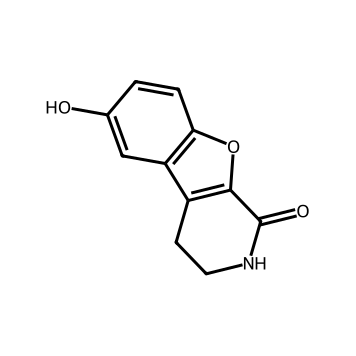 O=C1NCCc2c1oc1ccc(O)cc21